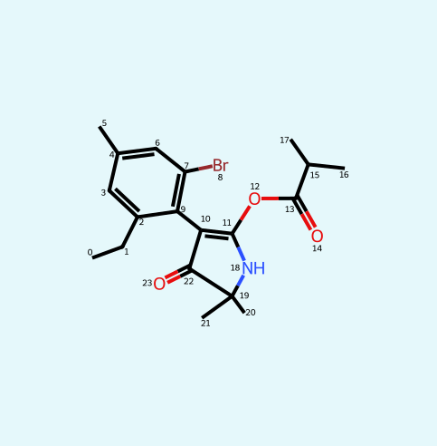 CCc1cc(C)cc(Br)c1C1=C(OC(=O)C(C)C)NC(C)(C)C1=O